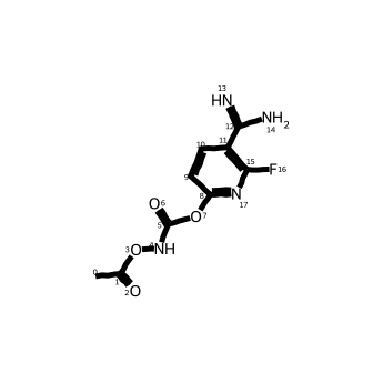 CC(=O)ONC(=O)Oc1ccc(C(=N)N)c(F)n1